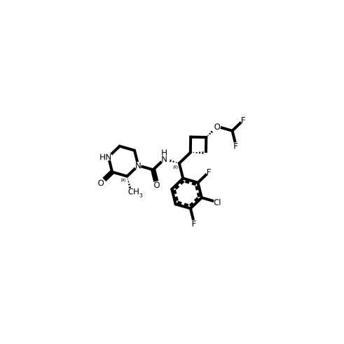 C[C@@H]1C(=O)NCCN1C(=O)N[C@@H](c1ccc(F)c(Cl)c1F)[C@H]1C[C@@H](OC(F)F)C1